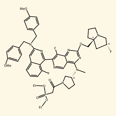 CCOP(=O)(CC(=O)N1CC[C@@H](N(C)c2nc(OC[C@@]34CCCN3C[C@H](F)C4)nc3c(F)c(-c4nc(N(Cc5ccc(OC)cc5)Cc5ccc(OC)cc5)cc5cccc(F)c45)ncc23)C1)OCC